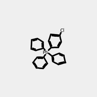 Clc1cc[c]([Pb]([c]2ccccc2)([c]2ccccc2)[c]2ccccc2)cc1